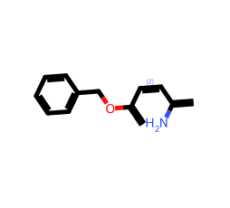 C=C(N)/C=C\C(=C)OCc1ccccc1